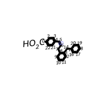 O=C(O)c1ccc(/C=C\Cc2ccccc2Cc2ccccc2)cc1